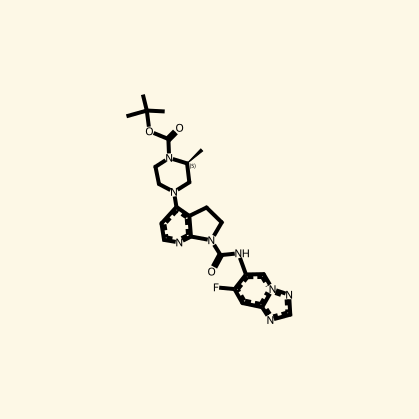 C[C@H]1CN(c2ccnc3c2CCN3C(=O)Nc2cn3ncnc3cc2F)CCN1C(=O)OC(C)(C)C